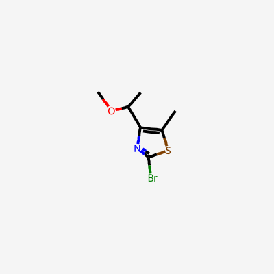 COC(C)c1nc(Br)sc1C